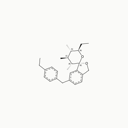 CCc1ccc(Cc2ccc3c(c2)[C@]2(OC3)O[C@H](CC)[C@@H](C)[C@H](C)[C@H]2C)cc1